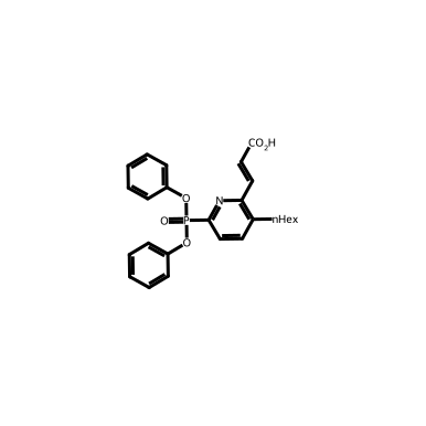 CCCCCCc1ccc(P(=O)(Oc2ccccc2)Oc2ccccc2)nc1C=CC(=O)O